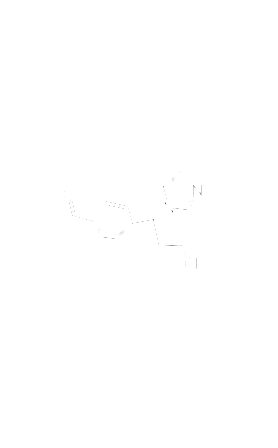 CCCC(c1ccc(C=O)cc1)n1ccnc1